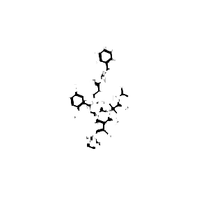 COc1ccc(F)cc1[C@H](Cn1c(=O)n(C(C)(C)C(=O)NC(C)C)c(=O)c2c(C)c(-n3nccn3)sc21)OCCC(=O)NOCc1ccccc1